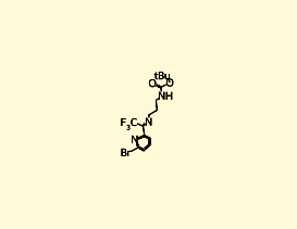 CC(C)(C)OC(=O)NCCC/N=C(/c1cccc(Br)n1)C(F)(F)F